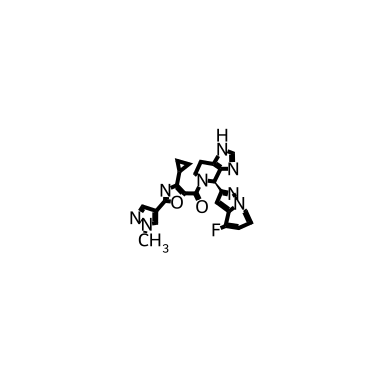 Cn1cc(-c2nc(C3CC3)c(C(=O)N3CCc4[nH]cnc4[C@H]3c3cc4c(F)cccn4n3)o2)cn1